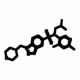 Cc1cc(C)c(N(CC(C)C)S(=O)(=O)c2ccc3c(cnn3CC3CCOCC3)c2)cn1